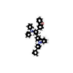 c1ccc(-c2ccc(-n3c4ccccc4c4cc(-c5cc(-c6ccc7oc8ccccc8c7c6)cc(N(c6ccccc6)c6ccccc6)c5)ccc43)cc2)cc1